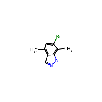 Cc1cc(Br)c(C)c2[nH]ncc12